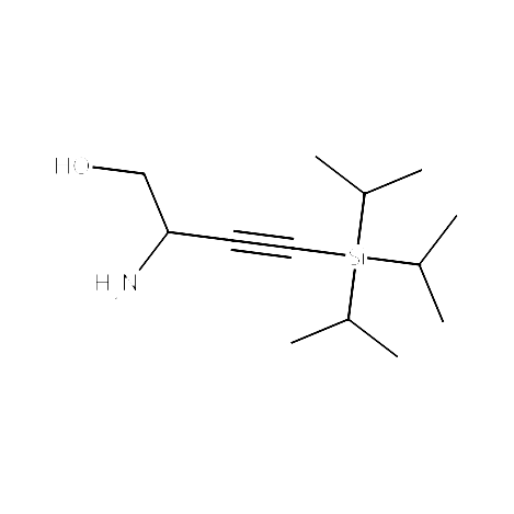 CC(C)[Si](C#CC(N)CO)(C(C)C)C(C)C